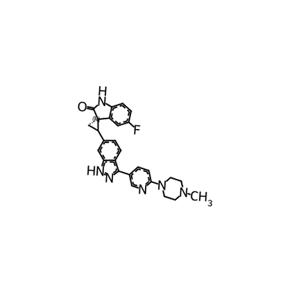 CN1CCN(c2ccc(-c3n[nH]c4cc(C5C[C@@]56C(=O)Nc5ccc(F)cc56)ccc34)cn2)CC1